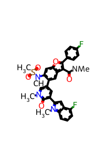 CNC(=O)c1c(-c2ccc(F)cc2)oc2cc(N(C)S(C)(=O)=O)c(-c3cc(-c4cc5c(F)cccc5n4C)c(=O)n(C)c3)cc12